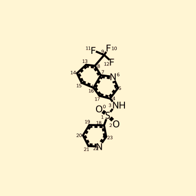 O=S(=O)(Nc1cnc2c(C(F)(F)F)cccc2c1)c1cccnc1